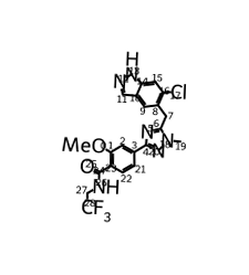 COc1cc(-c2nc(Cc3cc4cn[nH]c4cc3Cl)n(C)n2)ccc1C(=O)NCC(F)(F)F